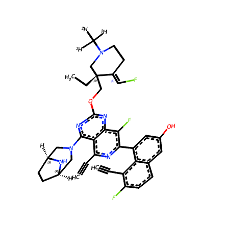 [2H]C([2H])([2H])N1CC/C(=C\F)[C@](CC)(COc2nc(N3C[C@H]4CC[C@@H](C3)N4)c3c(C#C)nc(-c4cc(O)cc5ccc(F)c(C#C)c45)c(F)c3n2)C1